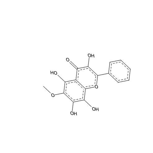 COc1c(O)c(O)c2oc(-c3ccccc3)c(O)c(=O)c2c1O